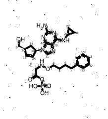 C[C@H](NOCCCCc1ccccc1)C(=O)OP(=O)(O)O.Nc1nc(NC2CC2)c2ncn([C@H]3C=C[C@@H](CO)C3)c2n1